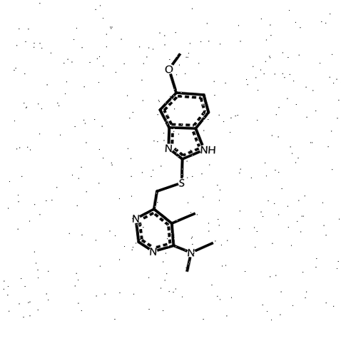 COc1ccc2[nH]c(SCc3ncnc(N(C)C)c3C)nc2c1